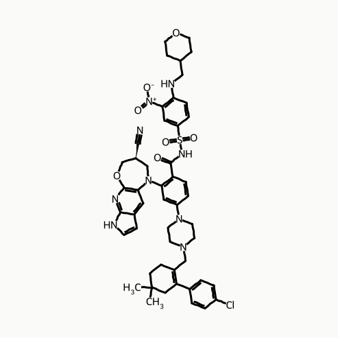 CC1(C)CCC(CN2CCN(c3ccc(C(=O)NS(=O)(=O)c4ccc(NCC5CCOCC5)c([N+](=O)[O-])c4)c(N4C[C@H](C#N)COc5nc6[nH]ccc6cc54)c3)CC2)=C(c2ccc(Cl)cc2)C1